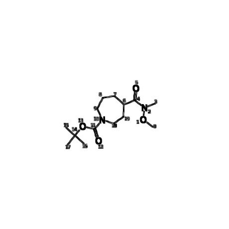 CON(C)C(=O)C1CCCN(C(=O)OC(C)(C)C)CC1